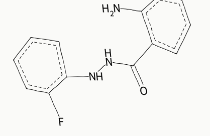 Nc1ccccc1C(=O)NNc1ccccc1F